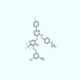 COc1ccc(COc2nc(-c3ccc(F)cc3)ncc2Cn2cnc(C(F)(F)F)c(CCc3cc(Cl)cc(C#N)c3)c2=O)cc1